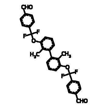 Cc1c(OC(F)(F)c2ccc(C=O)cc2)cccc1-c1cccc(OC(F)(F)c2ccc(C=O)cc2)c1C